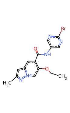 CCOc1cn2nc(C)cc2cc1C(=O)Nc1cnc(Br)nc1